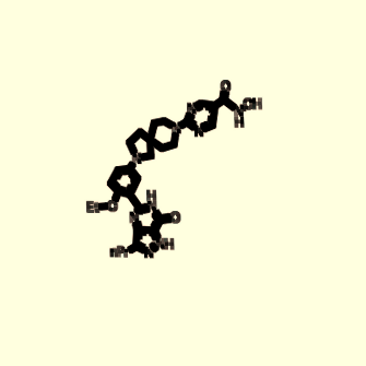 CCCc1n[nH]c2c(=O)[nH]c(-c3cc(N4CCC5(CCN(c6ncc(C(=O)NO)cn6)CC5)C4)ccc3OCC)nc12